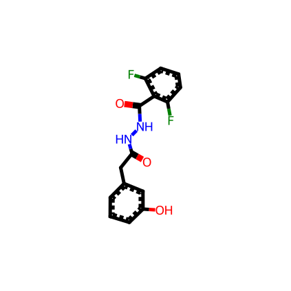 O=C(Cc1cccc(O)c1)NNC(=O)c1c(F)cccc1F